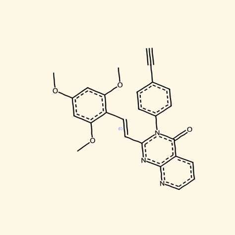 C#Cc1ccc(-n2c(/C=C/c3c(OC)cc(OC)cc3OC)nc3ncccc3c2=O)cc1